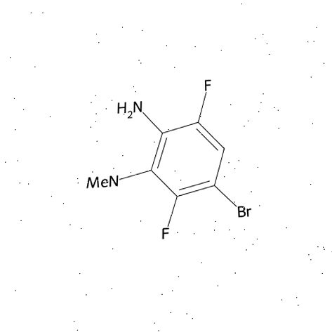 CNc1c(N)c(F)cc(Br)c1F